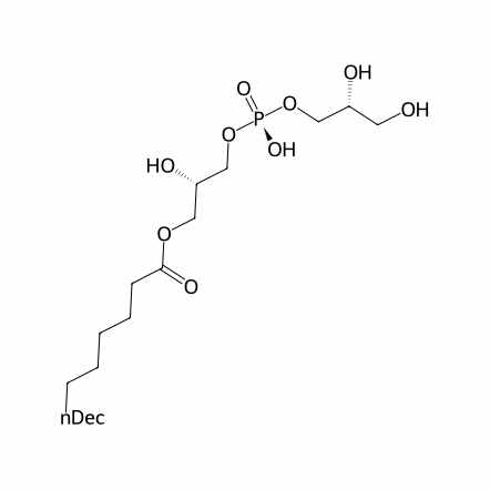 CCCCCCCCCCCCCCCC(=O)OC[C@H](O)CO[P@@](=O)(O)OC[C@H](O)CO